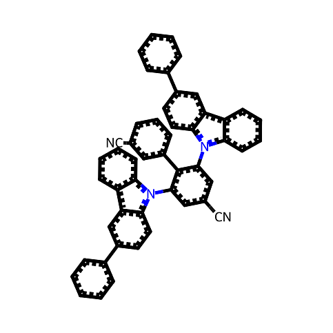 N#Cc1cccc(-c2c(-n3c4ccccc4c4cc(-c5ccccc5)ccc43)cc(C#N)cc2-n2c3ccccc3c3cc(-c4ccccc4)ccc32)c1